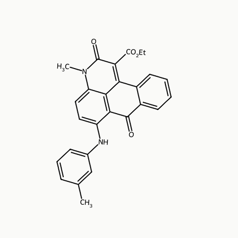 CCOC(=O)c1c2c3c(c(Nc4cccc(C)c4)ccc3n(C)c1=O)C(=O)c1ccccc1-2